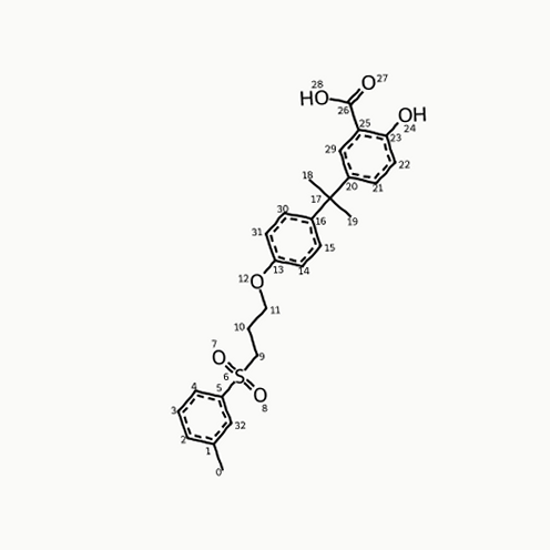 Cc1cccc(S(=O)(=O)CCCOc2ccc(C(C)(C)c3ccc(O)c(C(=O)O)c3)cc2)c1